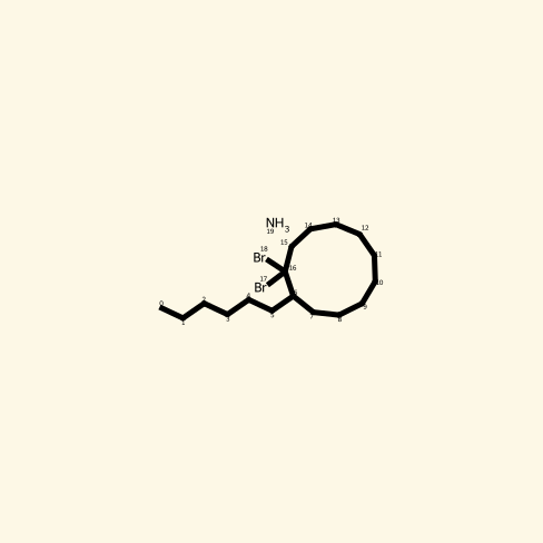 CCCCCCC1CCCCCCCCCC1(Br)Br.N